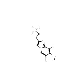 COc1c(Br)cn2cc(CCS(C)(=O)=O)nc2c1F